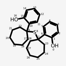 Oc1ccccc1C1(SC2(c3ccccc3O)CCCCCC2)CCCCCC1